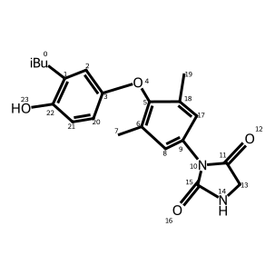 CCC(C)c1cc(Oc2c(C)cc(N3C(=O)CNC3=O)cc2C)ccc1O